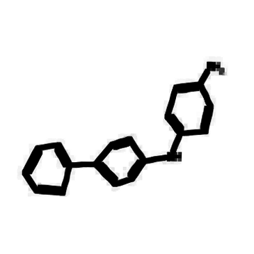 Bc1ccc(Nc2ccc(-c3ccccc3)cc2)cc1